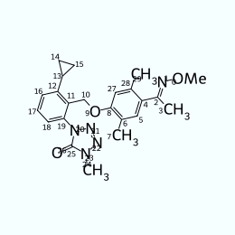 CON=C(C)c1cc(C)c(OCc2c(C3CC3)cccc2-n2nnn(C)c2=O)cc1C